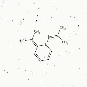 CC(C)=NN1C=CC=CC1=C(C)C